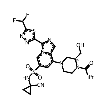 CC(C)C(=O)N1CCN(c2cc(S(=O)(=O)NC3(C#N)CC3)cn3c(-c4nnc(C(F)F)s4)ncc23)C[C@H]1CO